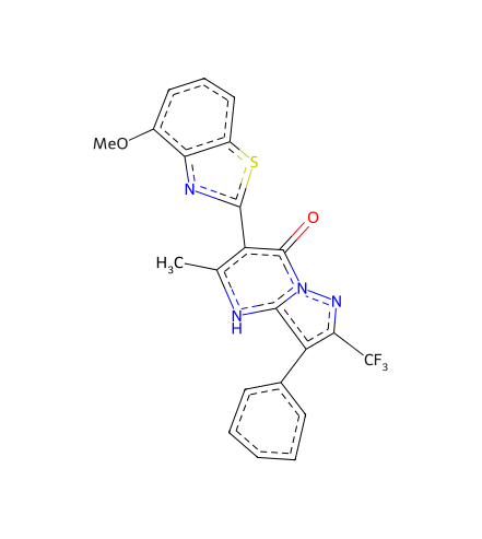 COc1cccc2sc(-c3c(C)[nH]c4c(-c5ccccc5)c(C(F)(F)F)nn4c3=O)nc12